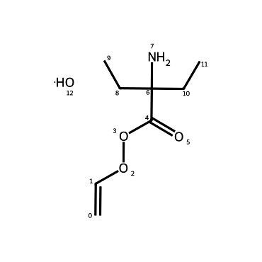 C=COOC(=O)C(N)(CC)CC.[OH]